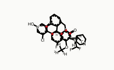 [2H]C([2H])([2H])Oc1cc([C@H](Cc2c(Cl)c[n+](O)cc2Cl)c2c(CN(C(=O)O[C@H]3CN4CCC3CC4)c3cccc(F)c3)cccc2C(=O)[O-])ccc1OC(F)F